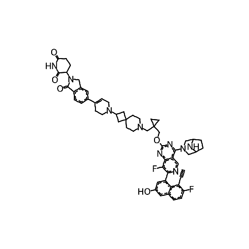 C#Cc1c(F)ccc2cc(O)cc(-c3ncc4c(N5CC6CCC(C5)N6)nc(OCC5(CN6CCC7(CC6)CC(N6CC=C(c8ccc9c(c8)CN(C8CCC(=O)NC8=O)C9=O)CC6)C7)CC5)nc4c3F)c12